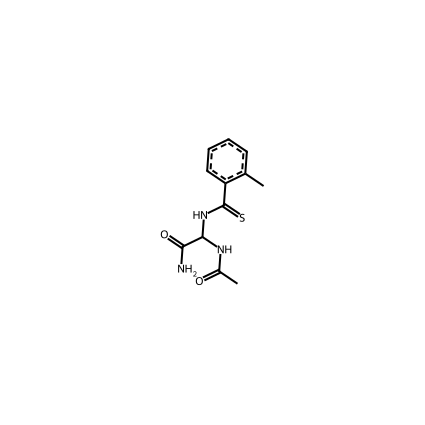 CC(=O)NC(NC(=S)c1ccccc1C)C(N)=O